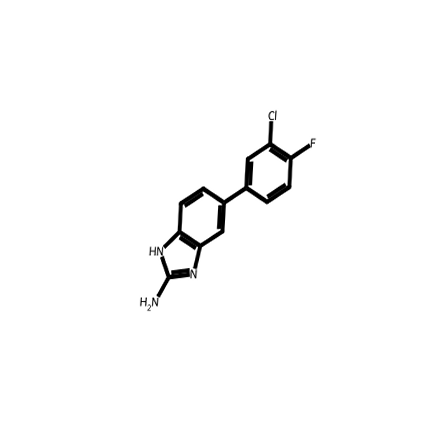 Nc1nc2cc(-c3ccc(F)c(Cl)c3)ccc2[nH]1